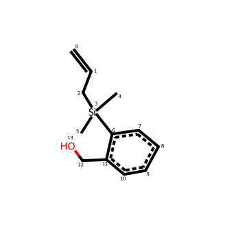 C=CC[Si](C)(C)c1ccccc1CO